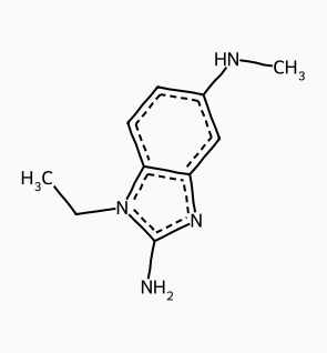 CCn1c(N)nc2cc(NC)ccc21